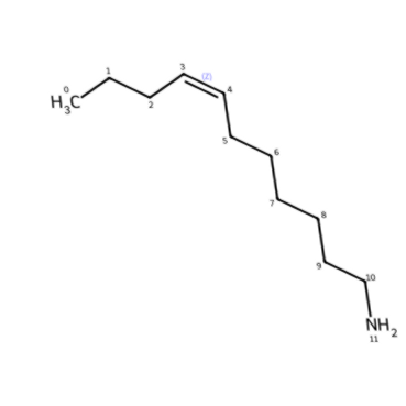 CCC/C=C\CCCCCCN